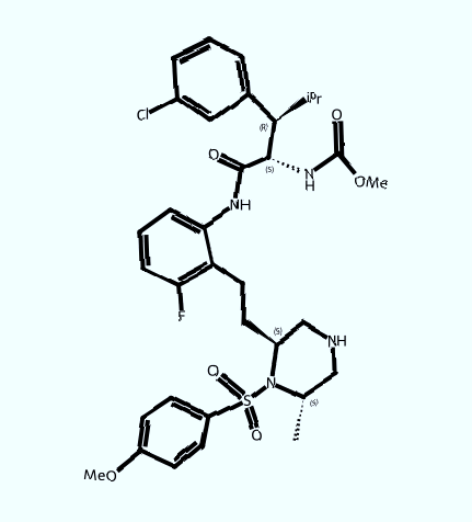 COC(=O)N[C@H](C(=O)Nc1cccc(F)c1CC[C@H]1CNC[C@H](C)N1S(=O)(=O)c1ccc(OC)cc1)[C@@H](c1cccc(Cl)c1)C(C)C